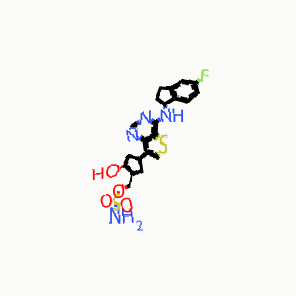 NS(=O)(=O)OC[C@@H]1CC(c2csc3c(NC4CCc5cc(F)ccc54)ncnc23)C[C@@H]1O